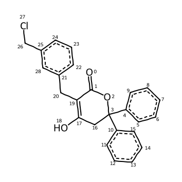 O=C1OC(c2ccccc2)(c2ccccc2)CC(O)=C1Cc1cccc(CCl)c1